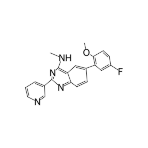 CNc1nc(-c2cccnc2)nc2ccc(-c3cc(F)ccc3OC)cc12